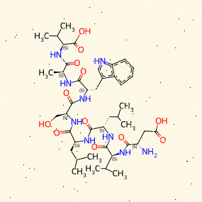 CC(C)C[C@H](NC(=O)[C@H](CC(C)C)NC(=O)[C@@H](NC(=O)[C@@H](N)CC(=O)O)C(C)C)C(=O)N[C@@H](CO)C(=O)N[C@@H](Cc1c[nH]c2ccccc12)C(=O)N[C@@H](C)C(=O)N[C@H](C(=O)O)C(C)C